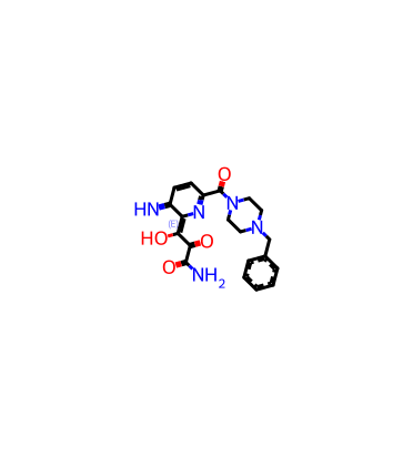 N=C1C=CC(C(=O)N2CCN(Cc3ccccc3)CC2)=N/C1=C(/O)C(=O)C(N)=O